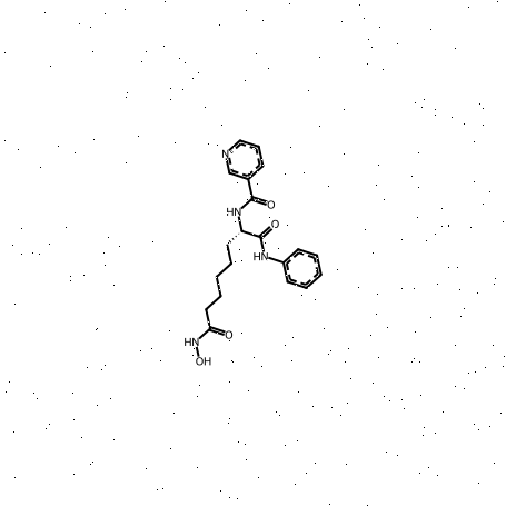 O=C(CCCCC[C@H](NC(=O)c1cccnc1)C(=O)Nc1ccccc1)NO